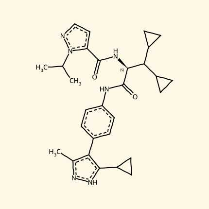 Cc1n[nH]c(C2CC2)c1-c1ccc(NC(=O)[C@@H](NC(=O)c2ccnn2C(C)C)C(C2CC2)C2CC2)cc1